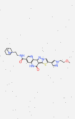 COCCn1cc(-c2cn3nc4c5ncc(C(=O)NCCN6CC7CCC6CC7)cc5[nH]c(=O)c4c3s2)cn1